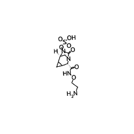 NCCONC(=O)[C@@H]1C2CC2[C@@H]2CN1C(=O)N2OS(=O)(=O)O